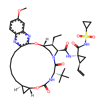 C=C[C@@H]1C[C@]1(NC(=O)[C@@H]1[C@H](CC)[C@@H]2CN1C(=O)[C@H](C(C)(C)C)NC(=O)O[C@@H]1C[C@H]1CCCCCc1nc3ccc(OC)cc3nc1O2)C(=O)NS(=O)(=O)C1CC1